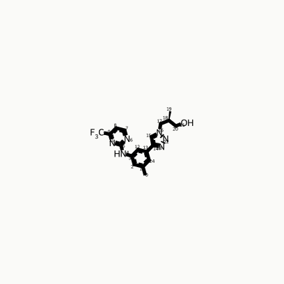 Cc1cc(Nc2nccc(C(F)(F)F)n2)cc(-c2cn(C[C@@H](C)CO)nn2)c1